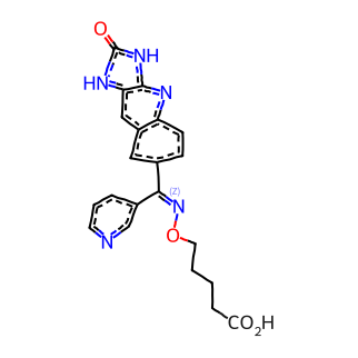 O=C(O)CCCCO/N=C(\c1cccnc1)c1ccc2nc3[nH]c(=O)[nH]c3cc2c1